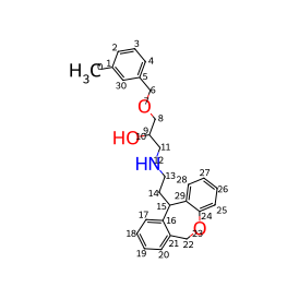 Cc1cccc(COCC(O)CNCCC2c3ccccc3COc3ccccc32)c1